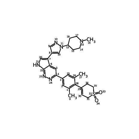 Cc1cc(-c2cc3c(-c4cnn(C5CCN(C)CC5)c4)c[nH]c3nn2)cc(C)c1C1=CCS(=O)(=O)CC1